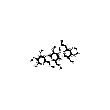 COCC1O[C@@H](O)C(OC)[C@H](OC)[C@@H]1O[C@@H]1OC(COC)[C@H](O[C@@H]2OC(CCO)[C@@H](OC)[C@@H](OC)C2OC)[C@@H](OC)C1OC